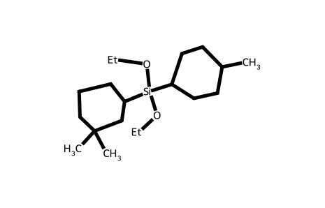 CCO[Si](OCC)(C1CCC(C)CC1)C1CCCC(C)(C)C1